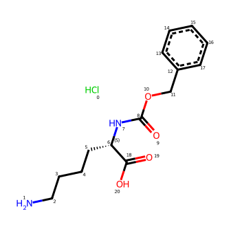 Cl.NCCCC[C@H](NC(=O)OCc1ccccc1)C(=O)O